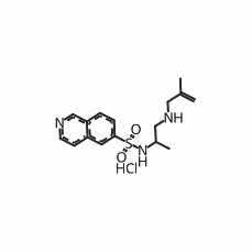 C=C(C)CNCC(C)NS(=O)(=O)c1ccc2cnccc2c1.Cl